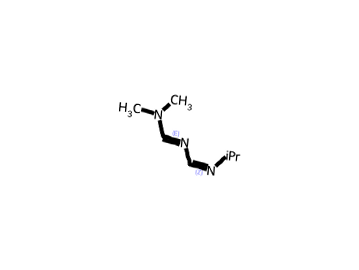 CC(C)/N=C\N=C\N(C)C